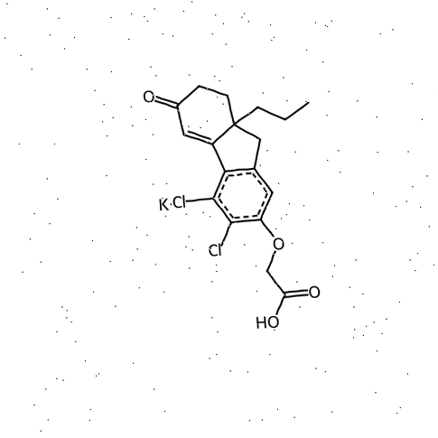 CCCC12CCC(=O)C=C1c1c(cc(OCC(=O)O)c(Cl)c1Cl)C2.[K]